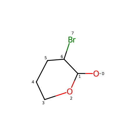 [O]C1OCCCC1Br